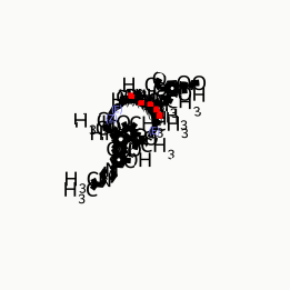 CC(=O)Oc1ccc(P(=O)(O)CC=O)cc1C(C)(C)CC(=O)O[C@H]1[C@H](C)[C@H](O)[C@H](C)[C@@H](O)[C@@H](C)/C=C/C=C(/C)C(=O)Nc2c3oc4cc(N5CCN(CC(C)C)CC5)cc(O)c4nc-3c3c4c(c(C)c(O)c3c2=O)O[C@](C)(O/C=C/[C@H](C)[C@H]1C)C4=O